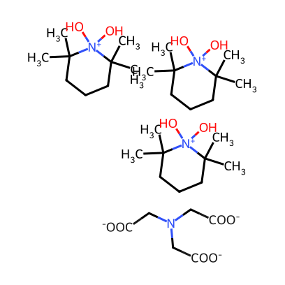 CC1(C)CCCC(C)(C)[N+]1(O)O.CC1(C)CCCC(C)(C)[N+]1(O)O.CC1(C)CCCC(C)(C)[N+]1(O)O.O=C([O-])CN(CC(=O)[O-])CC(=O)[O-]